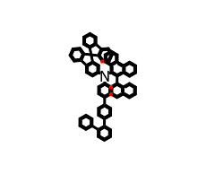 c1ccc(-c2ccccc2-c2ccc(-c3ccc(N(c4ccc5c(c4)C4(c6ccccc6-c6ccccc64)c4ccccc4-5)c4c(-c5cccc6ccccc56)c5ccccc5c5ccccc45)cc3)cc2)cc1